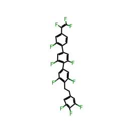 FC(F)=C(F)c1ccc(-c2cc(F)c(-c3cc(F)c(CCc4cc(F)c(F)c(F)c4)c(F)c3)c(F)c2)c(F)c1